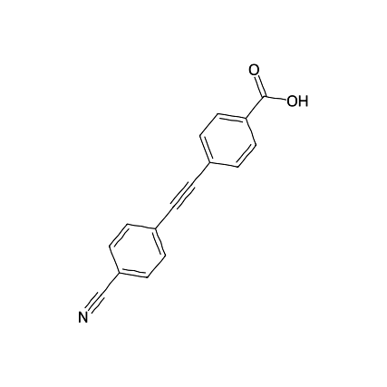 N#Cc1ccc(C#Cc2ccc(C(=O)O)cc2)cc1